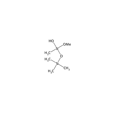 CO[Si](C)(O)O[Si](C)(C)C